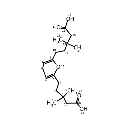 CC(C)(CCC1=CCC=C(CCC(C)(C)CC(=O)O)O1)CC(=O)O